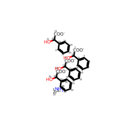 N.O=C([O-])C(O)c1ccccc1.O=C([O-])C(O)c1ccccc1.O=C([O-])C(O)c1ccccc1.O=C([O-])C(O)c1ccccc1.[Zr+4]